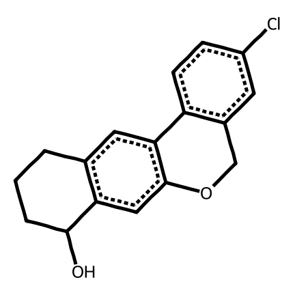 OC1CCCc2cc3c(cc21)OCc1cc(Cl)ccc1-3